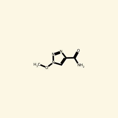 COn1cc(C(N)=O)nn1